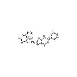 OC[C@H](Nc1nc2ccc(-c3ccncc3)cc2s1)c1ccccc1